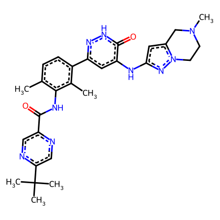 Cc1ccc(-c2cc(Nc3cc4n(n3)CCN(C)C4)c(=O)[nH]n2)c(C)c1NC(=O)c1cnc(C(C)(C)C)cn1